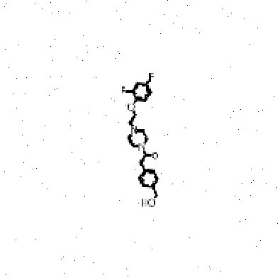 O=C(Cc1ccc(CO)cc1)N1CCN(CCOc2ccc(F)cc2F)CC1